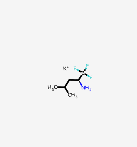 CC(C)C[C@H](N)[B-](F)(F)F.[K+]